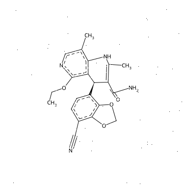 CCOc1ncc(C)c2c1[C@H](c1ccc(C#N)c3c1OCO3)C(C(N)=O)=C(C)N2